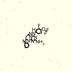 N#CCc1nc2ccccc2n1-c1nc(N)nc(Nc2ccc(OC(F)F)c(F)c2)n1